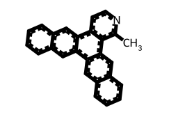 Cc1nccc2c3cc4ccccc4cc3c3cc4ccccc4cc3c12